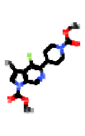 CC(C)c1cn(C(=O)OC(C)(C)C)c2cnc(C3CCN(C(=O)OC(C)(C)C)CC3)c(F)c12